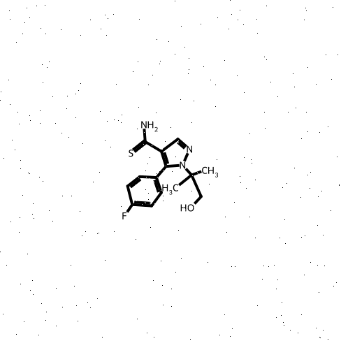 CC(C)(CO)n1ncc(C(N)=S)c1-c1ccc(F)cc1